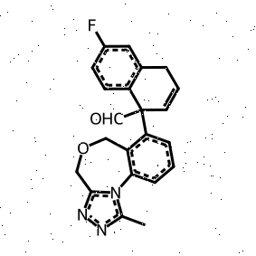 Cc1nnc2n1-c1cccc(C3(C=O)C=CCc4cc(F)ccc43)c1COC2